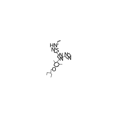 C=CCNc1ncc(-c2cc(-c3c(C)cc(OCC(CC)CC)cc3C)nc(-c3cnccn3)n2)s1